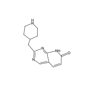 O=c1ccc2cnc(CC3CCNCC3)nc2[nH]1